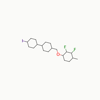 CC1CCC(OCC2CCC(C3CCC(I)CC3)CC2)C(F)C1F